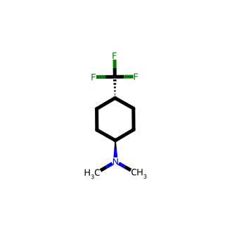 CN(C)[C@H]1CC[C@H](C(F)(F)F)CC1